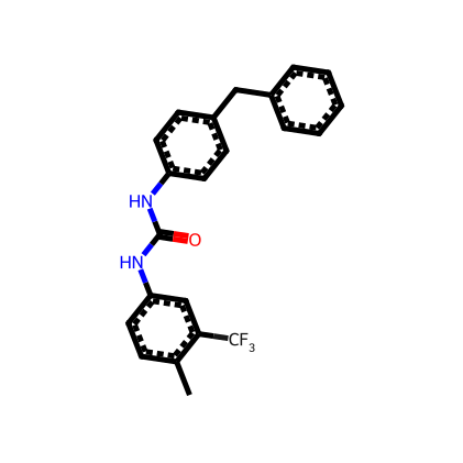 Cc1ccc(NC(=O)Nc2ccc(Cc3ccccc3)cc2)cc1C(F)(F)F